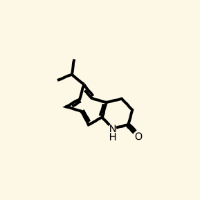 CC(C)C1=C/C2=C(/C=C/C=C/1)NC(=O)CC2